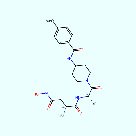 CCCC[C@H](CC(=O)NO)C(=O)N[C@H](C(=O)N1CCC(NC(=O)c2ccc(OC)cc2)CC1)C(C)(C)C